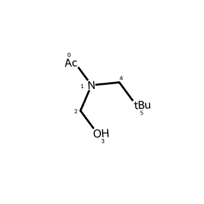 CC(=O)N(CO)CC(C)(C)C